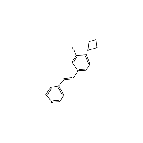 C1CCC1.Fc1cccc(C=Cc2ccncc2)c1